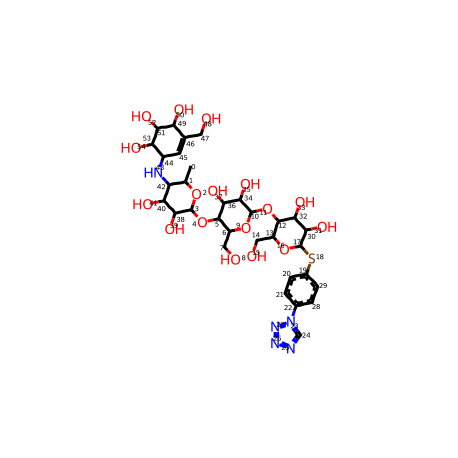 CC1OC(OC2C(CO)OC(OC3C(CO)OC(Sc4ccc(-n5cnnn5)cc4)C(O)C3O)C(O)C2O)C(O)C(O)C1NC1C=C(CO)C(O)C(O)C1O